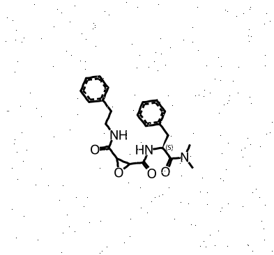 CN(C)C(=O)[C@H](Cc1ccccc1)NC(=O)C1OC1C(=O)NCCc1ccccc1